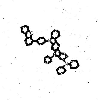 c1ccc(N(c2ccccc2)c2ccc3c4cc5c6ccccc6n(-c6ccc(-c7cccc8c7oc7ccccc78)cc6)c5cc4n(-c4ccccc4)c3c2)cc1